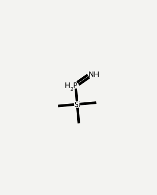 C[Si](C)(C)[PH2]=N